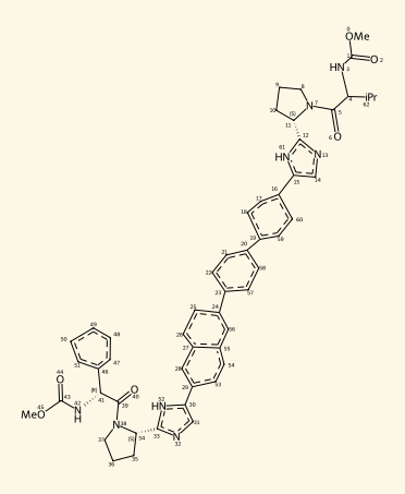 COC(=O)NC(C(=O)N1CCC[C@H]1c1ncc(-c2ccc(-c3ccc(-c4ccc5cc(-c6cnc([C@@H]7CCCN7C(=O)[C@H](NC(=O)OC)c7ccccc7)[nH]6)ccc5c4)cc3)cc2)[nH]1)C(C)C